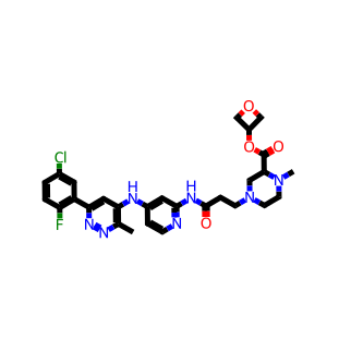 Cc1nnc(-c2cc(Cl)ccc2F)cc1Nc1ccnc(NC(=O)CCN2CCN(C)C(C(=O)OC3COC3)C2)c1